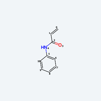 C=CC(=O)Nc1c[c]ccc1